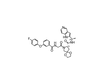 C[C@@H](NC(=O)[C@@H]1CC2(CN1C(=O)CNC(=O)c1cccc(Oc3ccc(F)cc3)c1)OCCO2)c1cc2cnccc2[nH]1